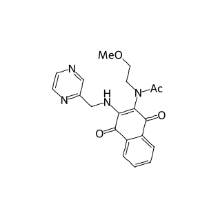 COCCN(C(C)=O)C1=C(NCc2cnccn2)C(=O)c2ccccc2C1=O